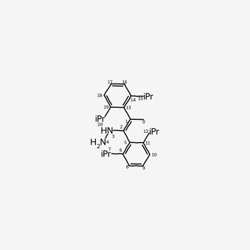 CC(=C(NN)c1c(C(C)C)cccc1C(C)C)c1c(C(C)C)cccc1C(C)C